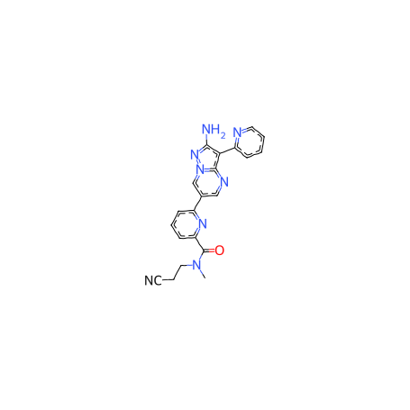 CN(CCC#N)C(=O)c1cccc(-c2cnc3c(-c4ccccn4)c(N)nn3c2)n1